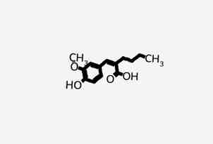 CCCCC(=Cc1ccc(O)c(OC)c1)C(=O)O